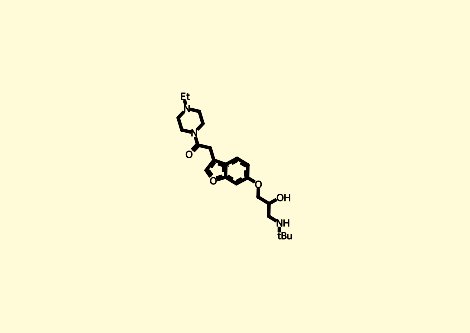 CCN1CCN(C(=O)Cc2coc3cc(OCC(O)CNC(C)(C)C)ccc23)CC1